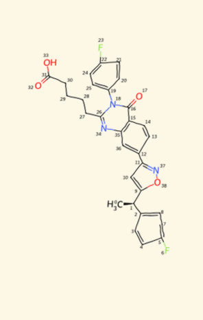 C[C@H](c1ccc(F)cc1)c1cc(-c2ccc3c(=O)n(-c4ccc(F)cc4)c(CCCCC(=O)O)nc3c2)no1